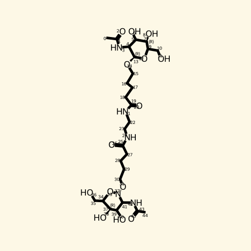 CC(=O)NC1C(O)[C@@H](O)C(CO)O[C@H]1OCCCCC(=O)NCCNC(=O)CCCCON1OC(CO)[C@H](O)C(O)C1NC(C)=O